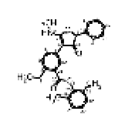 CCc1ccc(C2=C(NC)OC(c3ccccc3)C2=O)cc1C(=O)Oc1c(C)cccc1C